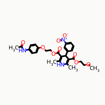 COCCOC(=O)C1=C(C)NC(C)=C(C(=O)OCCOc2ccc(NC(C)=O)cc2)C1c1cccc([N+](=O)[O-])c1